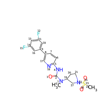 CN(C(=O)Nc1ccc(-c2cc(F)cc(F)c2)cn1)C1CCN(S(C)(=O)=O)C1